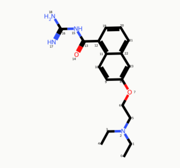 CCN(CC)CCOc1ccc2c(C(=O)NC(=N)N)cccc2c1